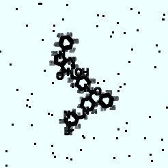 O=C([C@@H]1CCN(Cc2cncc(Br)c2)C[C@H]1c1ccccc1)N1CCC(O)(Cn2cnc3c(ccn3-c3ccccc3)c2=O)CC1